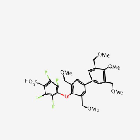 COCc1cc(-c2cc(COC)c(Oc3c(F)c(F)c(S(=O)(=O)O)c(F)c3F)c(COC)c2)cc(COC)c1OC